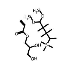 C=CC(=O)OCC(O)CO.CC(C(C)(C)C(C)(C)C(O[SiH3])O[SiH3])[Si](C)(C)C